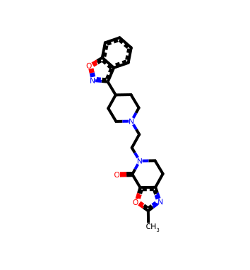 Cc1nc2c(o1)C(=O)N(CCN1CCC(c3noc4ccccc34)CC1)CC2